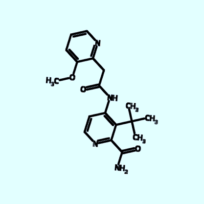 COc1cccnc1CC(=O)Nc1ccnc(C(N)=O)c1C(C)(C)C